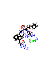 CC(C)(N)C(=O)N[C@H](CCCc1ccccc1)C(=O)N1CCC2(CC1)CC(CC(N)=O)c1ccccc12.Cl